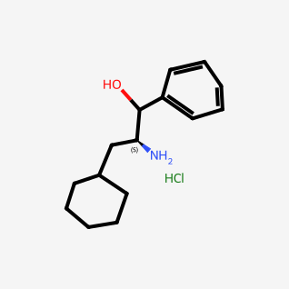 Cl.N[C@@H](CC1CCCCC1)C(O)c1ccccc1